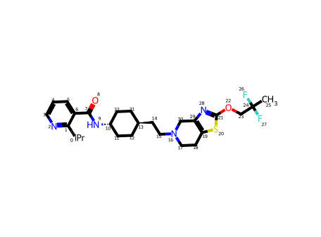 CC(C)c1ncccc1C(=O)N[C@H]1CC[C@H](CCN2CCc3sc(OCC(C)(F)F)nc3C2)CC1